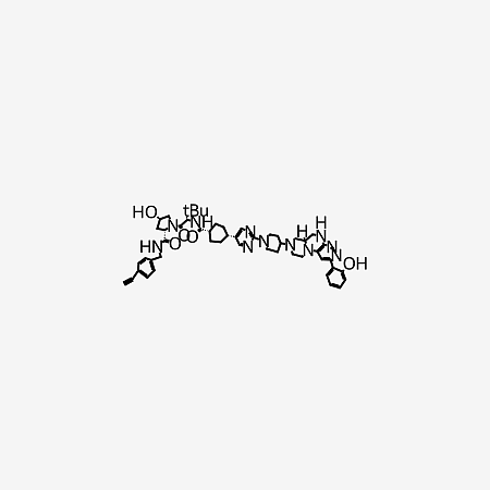 C#Cc1ccc(CNC(=O)[C@@H]2C[C@@H](O)CN2C(=O)[C@@H](NC(=O)[C@H]2CC[C@@H](c3cnc(N4CCC(N5CCN6c7cc(-c8ccccc8O)nnc7NC[C@H]6C5)CC4)nc3)CC2)C(C)(C)C)cc1